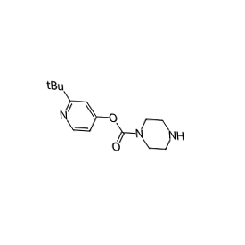 CC(C)(C)c1cc(OC(=O)N2CCNCC2)ccn1